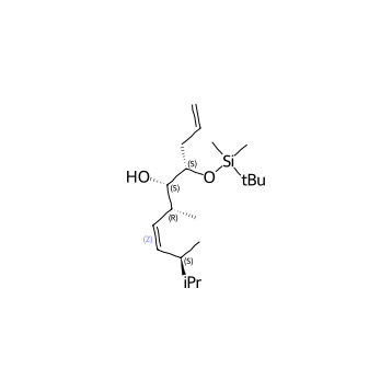 C=CC[C@H](O[Si](C)(C)C(C)(C)C)[C@@H](O)[C@H](C)/C=C\[C@@H](C)C(C)C